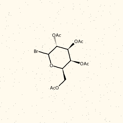 CC(=O)OC[C@H]1OC(Br)[C@H](OC(C)=O)[C@@H](OC(C)=O)[C@H]1OC(C)=O